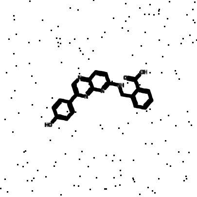 O=C(O)c1ccccc1CNc1ccc2ncc(-c3ccc(O)cc3)nc2n1